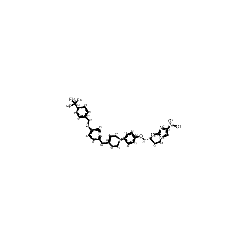 O=[N+]([O-])c1cn2c(n1)O[C@@H](COc1ccc(N3CC=C(Cc4ccc(OCc5ccc(C(F)(F)F)cc5)cc4)CC3)cc1)CC2